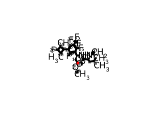 C=CNC(CC(C)C)C(=O)N[C@@H](CC(=O)OCC)c1c(F)c(C2C(C)C(F)C2C)cc(C(F)(F)F)c1F